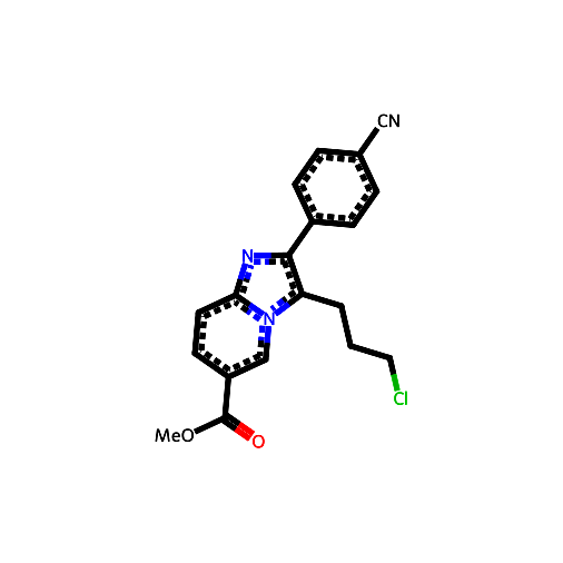 COC(=O)c1ccc2nc(-c3ccc(C#N)cc3)c(CCCCl)n2c1